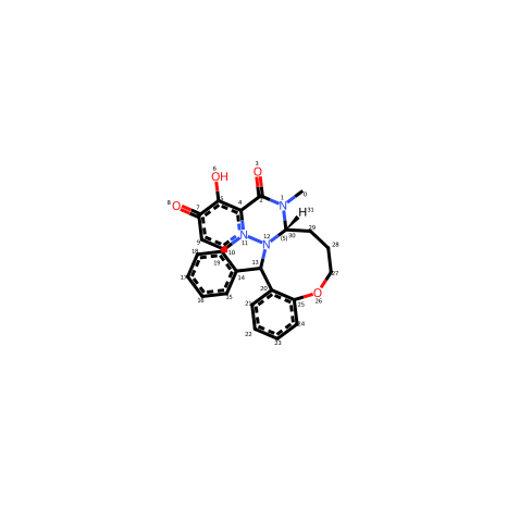 CN1C(=O)c2c(O)c(=O)ccn2N2C(c3ccccc3)c3ccccc3OCCC[C@@H]12